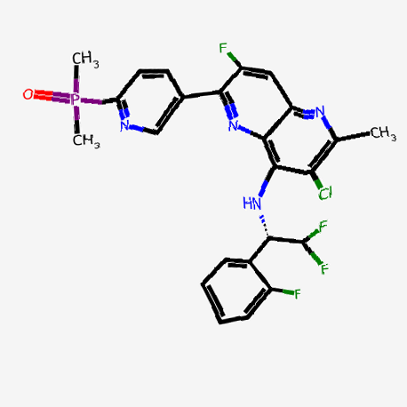 Cc1nc2cc(F)c(-c3ccc(P(C)(C)=O)nc3)nc2c(N[C@@H](c2ccccc2F)C(F)F)c1Cl